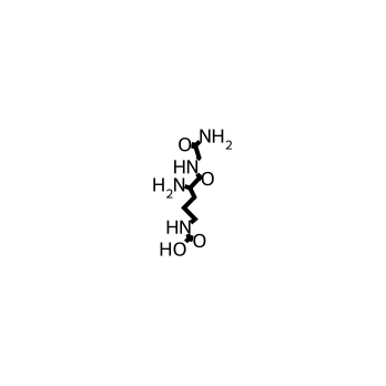 NC(=O)CNC(=O)C(N)CCCNC(=O)O